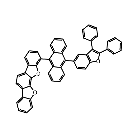 c1ccc(-c2oc3ccc(-c4c5ccccc5c(-c5cccc6c5oc5c6ccc6c7ccccc7oc65)c5ccccc45)cc3c2-c2ccccc2)cc1